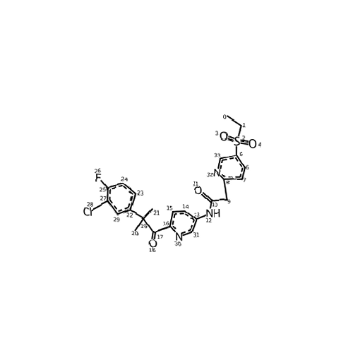 CCS(=O)(=O)c1ccc(CC(=O)Nc2ccc(C(=O)C(C)(C)c3ccc(F)c(Cl)c3)nc2)nc1